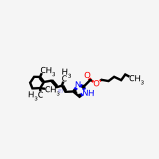 CCCCCCOC(=O)c1nc(/C=C(\C)C=CC2=C(C)CCCC2(C)C)c[nH]1